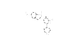 CCOc1ccc2[nH]c(-c3cc(-c4ccncc4)n[nH]c3=O)cc2c1